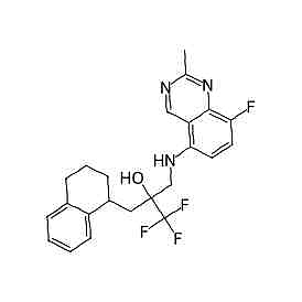 Cc1ncc2c(NCC(O)(CC3CCCc4ccccc43)C(F)(F)F)ccc(F)c2n1